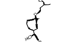 CC(Cl)COc1ccc(C(=O)O)cc1